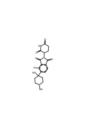 CCCN1CCC(O)(c2ccc3c(c2F)C(=O)N(C2CCC(=O)NC2=O)C3=O)CC1